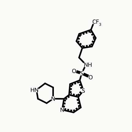 O=S(=O)(NCc1ccc(C(F)(F)F)cc1)c1cc2c(N3CCNCC3)nccc2s1